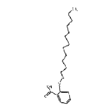 CCCCCCCCCCCCSOc1ccccc1C(=O)O